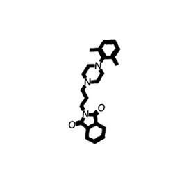 Cc1cccc(C)c1N1CCN(CCCN2C(=O)C3CC=CCC3C2=O)CC1